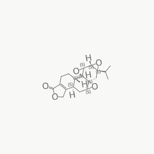 CC(C)[C@@]12C[C@]34O[C@H]3C[C@H]3C5=C(CC[C@]3(C)[C@@]43O[C@H]3[C@@H]1O2)C(=O)OC5